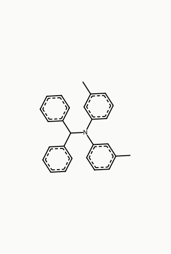 Cc1cccc(N(c2cccc(C)c2)C(c2ccccc2)c2ccccc2)c1